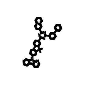 CC1(C)c2cc(-c3nc(-c4cccc(-c5ccccc5)c4)nc(-c4ccc5ccccc5c4)n3)ccc2-c2ccc(-n3c4ccccc4c4cccnc43)cc21